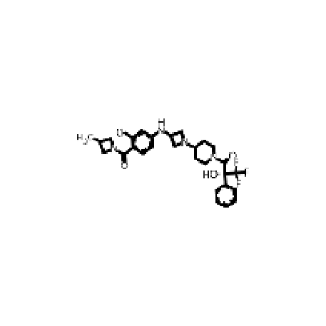 CC1CN(C(=O)c2ccc(NC3CN(C4CCN(C(=O)[C@](O)(c5ccccc5)C(F)(F)F)CC4)C3)cc2Cl)C1